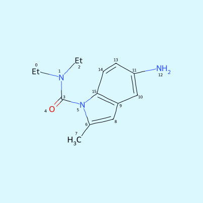 CCN(CC)C(=O)n1c(C)cc2cc(N)ccc21